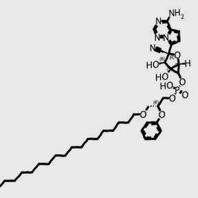 CCCCCCCCCCCCCCCCCCOC[C@H](COP(=O)(O)OC1[C@H]2O[C@@](C#N)(c3ccc4c(N)ncnn34)[C@H](O)[C@@]12O)Oc1ccccc1